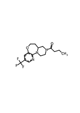 CCCC(=O)N1CCN2c3ncc(C(F)(F)F)cc3OCCC2C1